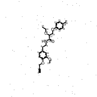 C#CCOc1ccc(CCNC(=O)C(COc2ccc(F)cc2)OCC)cc1OC